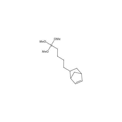 CO[Si](CCCCC1CC2C=CC1C2)(OC)OC